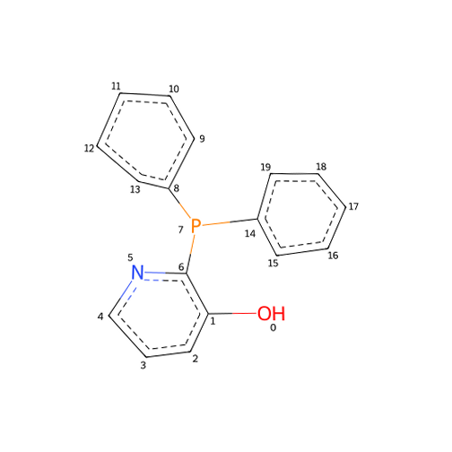 Oc1cccnc1P(c1ccccc1)c1ccccc1